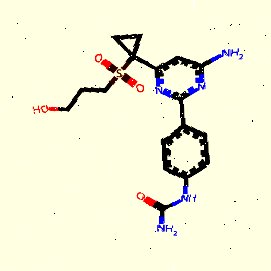 NC(=O)Nc1ccc(-c2nc(N)cc(C3(S(=O)(=O)CCCO)CC3)n2)cc1